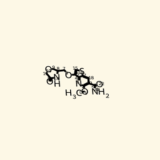 COc1nc2c(OCC3COCC(=O)N3)csc2cc1C(N)=O